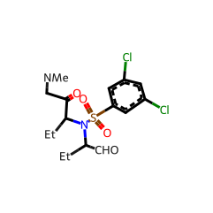 CCC(C=O)N(C(CC)C(=O)CNC)S(=O)(=O)c1cc(Cl)cc(Cl)c1